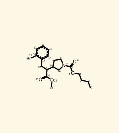 CCCCOC(=O)N1CCC(C(Cc2ccccc2Br)C(=O)OC)C1